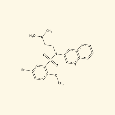 COc1ccc(Br)cc1S(=O)(=O)N(CCN(C)C)c1cnc2ccccc2c1